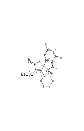 CCOC(=O)C1=C(N2CCCCC2)C2(CC1=O)C(=O)N=C1C(C)=CC(C)=CN12